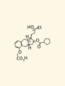 CC[C@H](O)CC[C@@H]1[C@H]2Cc3cccc(OCC(=O)O)c3C[C@H]2C[C@H]1OC(=O)C1CCCC1